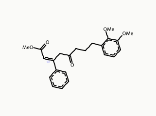 COC(=O)/C=C(\CC(=O)CCCc1cccc(OC)c1OC)c1ccccc1